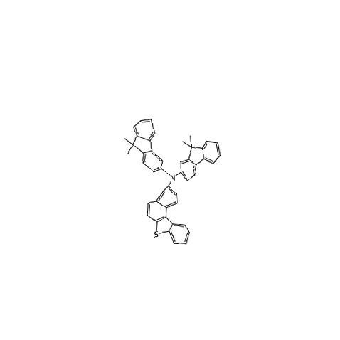 CC1(C)c2ccccc2-c2cc(N(c3ccc4c(c3)C(C)(C)c3ccccc3-4)c3ccc4c(ccc5sc6ccccc6c54)c3)ccc21